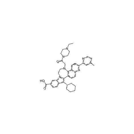 CCN1CCN(C(=O)CN2CCn3c(c(C4CCCCC4)c4ccc(C(=O)O)cc43)-c3ccc4nc(-c5cc(C)ccn5)ccc4c32)CC1